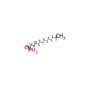 CCCCCCCCCCCCCC(=O)P